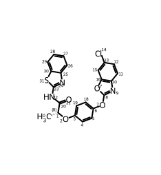 C[C@@H](Oc1ccc(Oc2nc3ccc(Cl)cc3o2)cc1)C(=O)Nc1nc2ccccc2s1